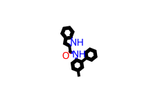 Cc1ccc(NC(=O)c2cc3ccccc3[nH]2)c(-c2ccccc2)c1